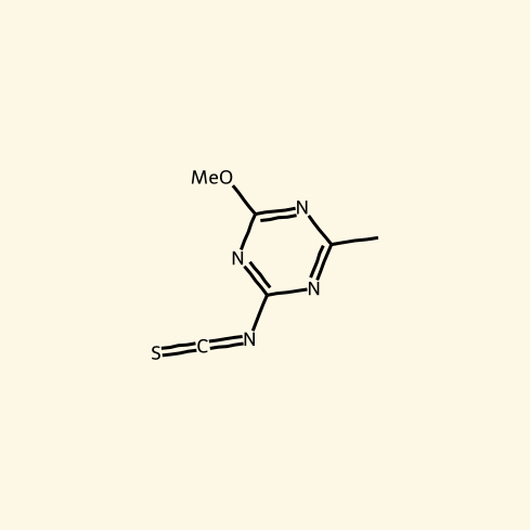 COc1nc(C)nc(N=C=S)n1